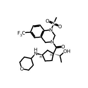 CC(O)[C@]1(C(=O)N2Cc3cc(C(F)(F)F)ccc3N(S(C)(=O)=O)C2)CC[C@@H](NC2CCOCC2)C1